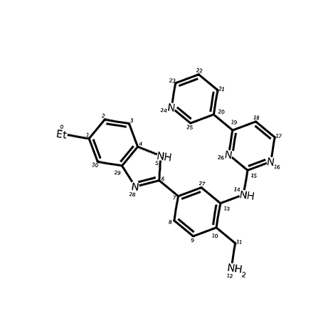 CCc1ccc2[nH]c(-c3ccc(CN)c(Nc4nccc(-c5cccnc5)n4)c3)nc2c1